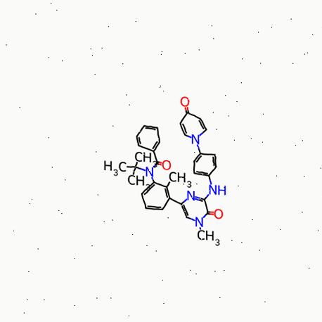 Cc1c(-c2cn(C)c(=O)c(Nc3ccc(-n4ccc(=O)cc4)cc3)n2)cccc1N(C(=O)c1ccccc1)C(C)(C)C